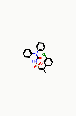 CC(=CS(=O)(=O)NC(=O)N(c1ccccc1)c1ccccc1)c1cccc(Cl)c1